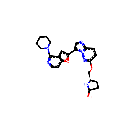 OC1CC[C@H](COc2ccc3ncc(-c4cc5c(N6CCCCC6)nccc5o4)n3n2)N1